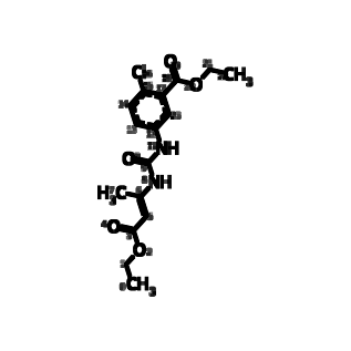 CCOC(=O)/C=C(\C)NC(=O)Nc1ccc(Cl)c(C(=O)OCC)c1